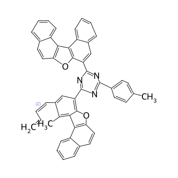 C=C/C=C\c1cc(-c2nc(-c3ccc(C)cc3)nc(-c3cc4ccccc4c4c3oc3ccc5ccccc5c34)n2)c2oc3ccc4ccccc4c3c2c1C